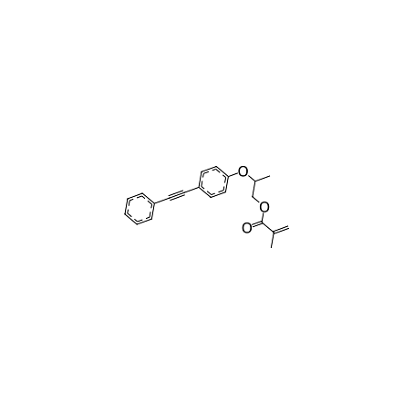 C=C(C)C(=O)OCC(C)Oc1ccc(C#Cc2ccccc2)cc1